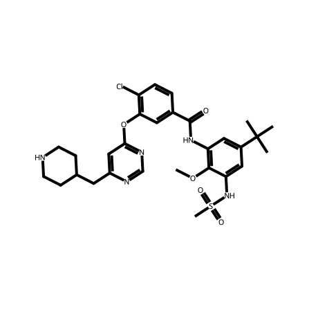 COc1c(NC(=O)c2ccc(Cl)c(Oc3cc(CC4CCNCC4)ncn3)c2)cc(C(C)(C)C)cc1NS(C)(=O)=O